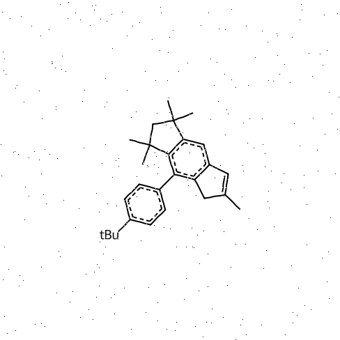 CC1=Cc2cc3c(c(-c4ccc(C(C)(C)C)cc4)c2C1)C(C)(C)CC3(C)C